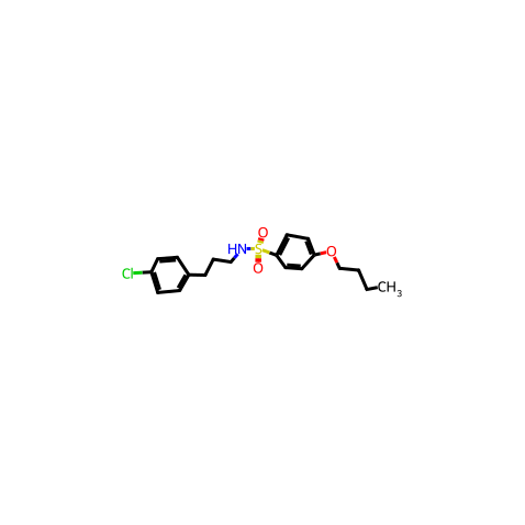 CCCCOc1ccc(S(=O)(=O)NCCCc2ccc(Cl)cc2)cc1